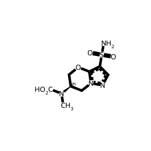 CN(C(=O)O)[C@H]1COc2c(S(N)(=O)=O)cnn2C1